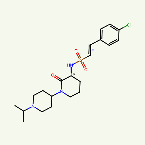 CC(C)N1CCC(N2CCC[C@H](NS(=O)(=O)/C=C/c3ccc(Cl)cc3)C2=O)CC1